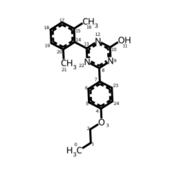 CCCOc1ccc(-c2nc(O)nc(-c3c(C)cccc3C)n2)cc1